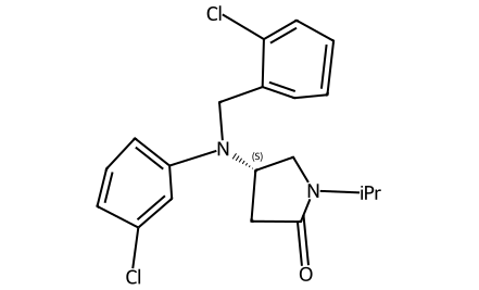 CC(C)N1C[C@@H](N(Cc2ccccc2Cl)c2cccc(Cl)c2)CC1=O